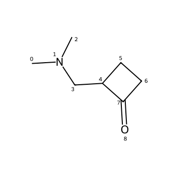 CN(C)CC1CCC1=O